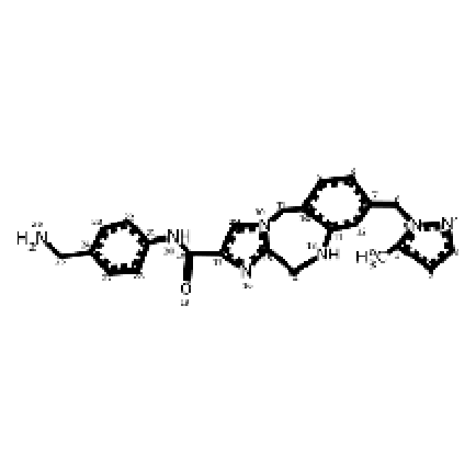 Cc1ccnn1Cc1ccc2c(c1)NCc1nc(C(=O)Nc3ccc(CN)cc3)cn1C2